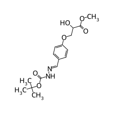 COC(=O)C(O)COc1ccc(C=NNC(=O)OC(C)(C)C)cc1